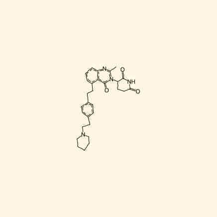 Cc1nc2cccc(CCc3ccc(CCN4CCCCC4)cc3)c2c(=O)n1C1CCC(=O)NC1=O